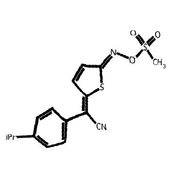 CC(C)c1ccc(C(C#N)=C2C=CC(=NOS(C)(=O)=O)S2)cc1